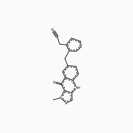 Cn1ncc2[nH]c3ccc(Cc4ccccc4CC#N)cc3c(=O)c21